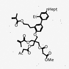 C=C(C)C(=O)OCCCc1cc(-c2ccc(CCCCCCC)cc2CC)ccc1OCC(COC(=O)CC(C)=O)(COC(=O)CC(=O)OC)COC(=O)C(=C)C